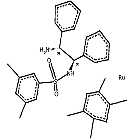 Cc1cc(C)c(C)cc1C.Cc1cc(C)cc(S(=O)(=O)N[C@H](c2ccccc2)[C@H](N)c2ccccc2)c1.[Ru]